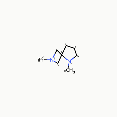 CC(C)N1CC2(CCCN2C)C1